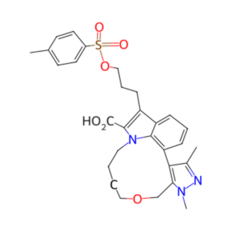 Cc1ccc(S(=O)(=O)OCCCc2c(C(=O)O)n3c4c(cccc24)-c2c(C)nn(C)c2COCCCC3)cc1